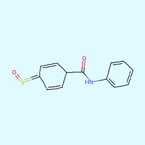 O=S=C1C=CC(C(=O)Nc2ccccc2)C=C1